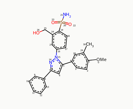 COc1ccc(-c2cc(-c3ccccc3)nn2-c2ccc(S(N)(=O)=O)c(CO)c2)cc1C